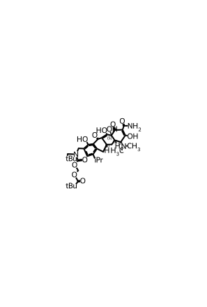 CC(C)c1cc(CN(CC(C)(C)C)C(=O)OCOC(=O)C(C)(C)C)c(O)c2c1C[C@H]1C[C@H]3[C@H](N(C)C)C(O)=C(C(N)=O)C(=O)[C@@]3(O)C(O)=C1C2=O